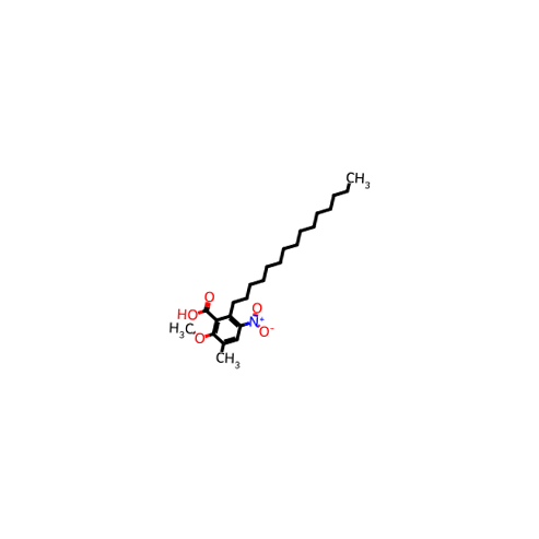 CCCCCCCCCCCCCCCc1c([N+](=O)[O-])cc(C)c(OC)c1C(=O)O